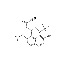 C=C(C#N)CN(C(=O)OC(C)(C)C)c1c(OC(C)C)ccc2ccc(Br)cc12